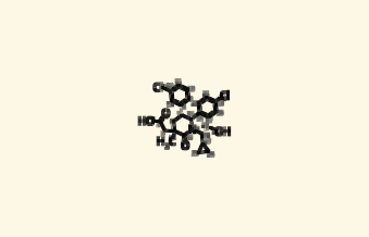 C[C@@]1(CC(=O)O)C[C@H](c2cccc(Cl)c2)[C@@H](c2ccc(Cl)cc2)N([C@H](CO)C2CC2)C1=O